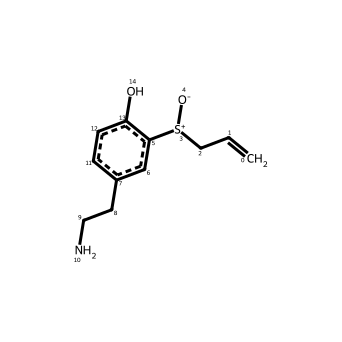 C=CC[S+]([O-])c1cc(CCN)ccc1O